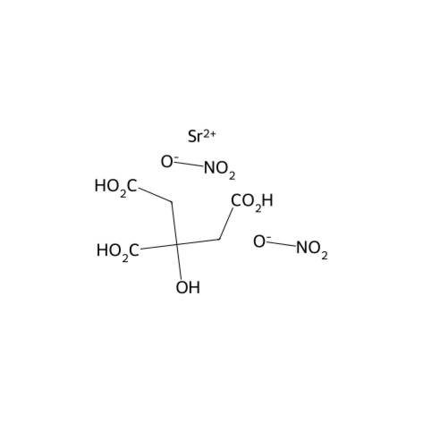 O=C(O)CC(O)(CC(=O)O)C(=O)O.O=[N+]([O-])[O-].O=[N+]([O-])[O-].[Sr+2]